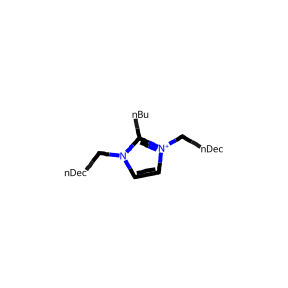 CCCCCCCCCCCn1cc[n+](CCCCCCCCCCC)c1CCCC